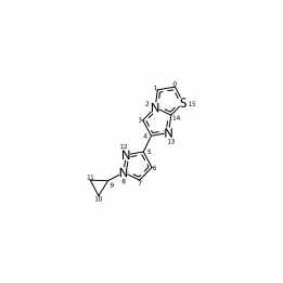 c1cn2cc(-c3ccn(C4CC4)n3)nc2s1